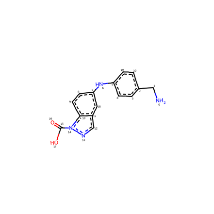 NCc1ccc(Nc2ccc3c(cnn3C(=O)O)c2)cc1